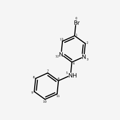 Brc1cnc(Nc2ccccc2)nc1